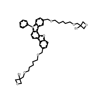 CCC1(COCCCCCOCc2ccc3oc4c(ccc5c4c4cc(COCCCCCOCC6(CC)COC6)ccc4n5-c4ccccc4)c3c2)COC1